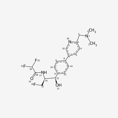 CN(C)Cc1ccc(-c2ccc([C@@H](O)[C@@H](CF)NC(=O)C(F)F)cc2)cn1